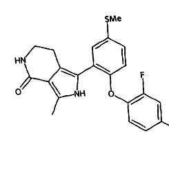 CSc1ccc(Oc2ccc(F)cc2F)c(-c2[nH]c(C)c3c2CCNC3=O)c1